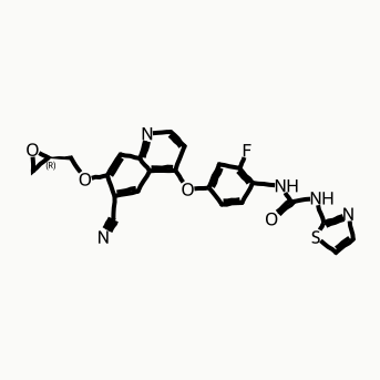 N#Cc1cc2c(Oc3ccc(NC(=O)Nc4nccs4)c(F)c3)ccnc2cc1OC[C@H]1CO1